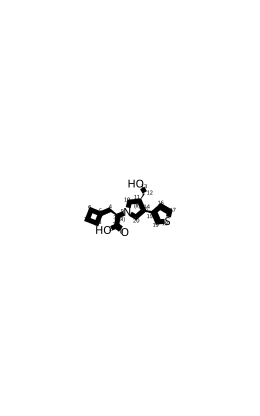 O=C(O)[C@@H](CC1CCC1)N1C[C@H](CO)[C@@H](c2ccsc2)C1